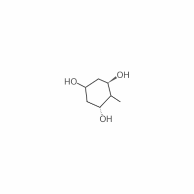 CC1[C@H](O)CC(O)C[C@H]1O